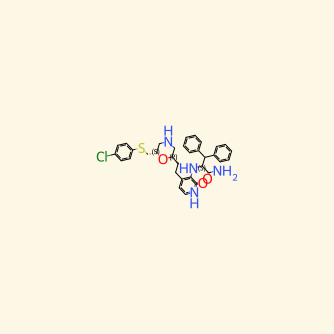 NC(=O)[C@@H](Nc1c(CC[C@@H]2CNC[C@@H](CSc3ccc(Cl)cc3)O2)cc[nH]c1=O)C(c1ccccc1)c1ccccc1